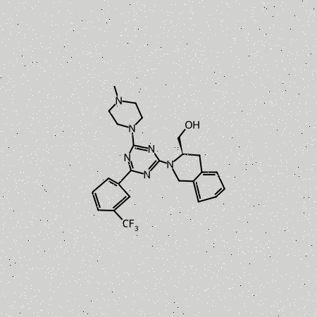 CN1CCN(c2nc(-c3cccc(C(F)(F)F)c3)nc(N3Cc4ccccc4C[C@@H]3CO)n2)CC1